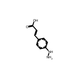 NNc1ccc(C=CC(=O)O)cc1